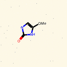 COC1=C[N]C(=O)N1